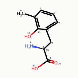 Cc1cccc(C[C@H](N)C(=O)O)c1O